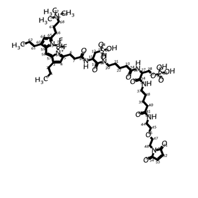 CCCC1=CC(CCC(=O)NC(CS(=O)(=O)O)C(=O)NCCCCC(=O)NC(COP(=O)(O)O)C(=O)NCCCCC(=O)NCCOCCN2C(=O)C=CC2=O)=[N+]2C1=Cc1c(CCC)cc(CCC[N+](C)(C)C)n1[B-]2(F)F